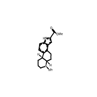 CCCN1CCC[C@@H]2c3ccc4[nH]c(C(=O)OC)cc4c3CC[C@@H]21